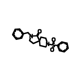 O=C1N(Cc2ccccc2)CCC12CCN(S(=O)(=O)c1ccccc1)CC2